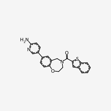 Nc1ccc(-c2ccc3c(c2)CN(C(=O)c2cc4ccccc4s2)CCO3)cn1